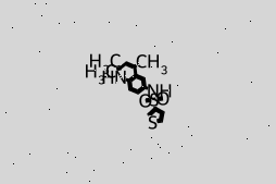 CC1=CC(C)(C)Nc2ccc(NS(=O)(=O)c3ccsc3)cc21